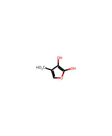 O=C(O)c1coc(O)c1O